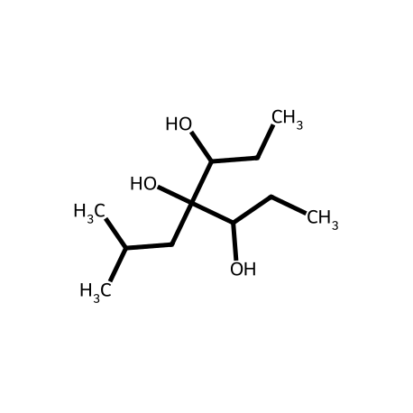 CCC(O)C(O)(CC(C)C)C(O)CC